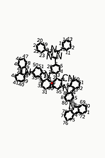 N#Cc1c(-c2ccc(-c3nc(-c4ccccc4)nc(-c4ccccc4)n3)cc2-n2c3ccccc3c3cc(-n4c5ccccc5c5ccccc54)ccc32)cccc1-n1c2ccccc2c2cc(-n3c4ccccc4c4ccccc43)ccc21